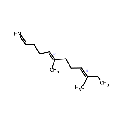 CC/C(C)=C/CC/C(C)=C/CCC=N